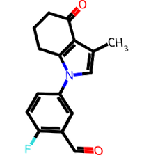 Cc1cn(-c2ccc(F)c(C=O)c2)c2c1C(=O)CCC2